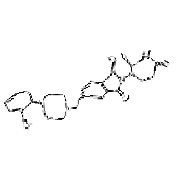 O=C1CCN(N2C(=O)c3ccc(CN4CCN(c5ccccc5Br)CC4)cc3C2=O)C(=O)N1